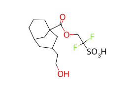 O=C(OCC(F)(F)S(=O)(=O)O)C12CCCC(CC(CCO)C1)C2